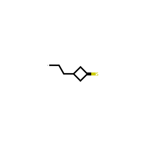 [CH2]CCC1CC(=S)C1